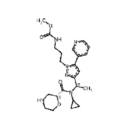 COC(=O)NCCCn1nc([C@@H](C)N(C(=O)[C@H]2CNCCO2)C2CC2)cc1-c1cccnc1